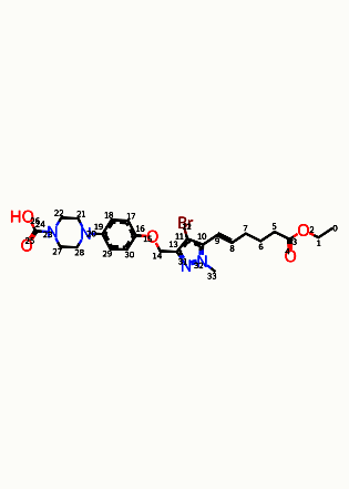 CCOC(=O)CCCC=Cc1c(Br)c(COc2ccc(N3CCN(C(=O)O)CC3)cc2)nn1C